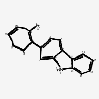 CCC1=C(c2ccc3c(c2)[nH]c2ccccc23)CCC=C1